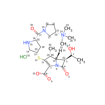 CC(O)[C@H]1C(=O)N2C(C(=O)[O-])=C(S[C@@H]3CN[C@H](C(=O)N4CC[C@H]([N+](C)(C)C)C4)C3)[C@H](C)[C@H]12.Cl